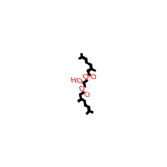 CC(C)=CCCC(C)CC(=O)OCC(O)COC(=O)CC(C)CCC=C(C)C